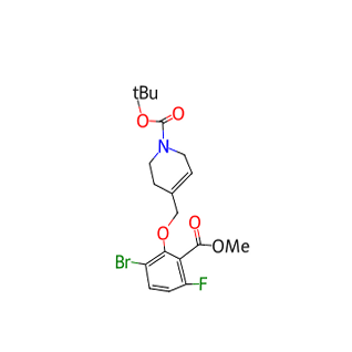 COC(=O)c1c(F)ccc(Br)c1OCC1=CCN(C(=O)OC(C)(C)C)CC1